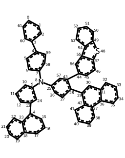 c1ccc(-c2ccc(N(c3cccc(-c4cccc5ccccc45)c3)c3ccc(-c4cc5ccccc5c5ccccc45)c(-c4ccc5sc6ccccc6c5c4)c3)cc2)cc1